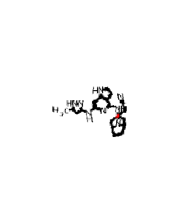 Cc1cc(Nc2cc3[nH]ccc3c(NC3CC4CCC(C3)N4CCC#N)n2)n[nH]1